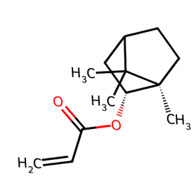 C=CC(=O)O[C@@H]1CC2CC[C@]1(C)C2(C)C